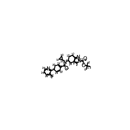 CC(C)(C)OC(=O)n1cc2c(n1)CCC(N(C(=O)C1=CCC(c3ncccc3F)C=C1)C1CC1)C2